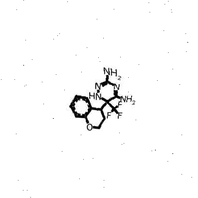 NC1=NNC(C2CCOc3ccccc32)(C(F)(F)F)C(N)=N1